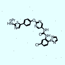 CCCNc1ncc(-c2ccc(Oc3ncc(NC(=O)Nc4cc(Cl)ccc4-n4nccn4)cn3)cc2)s1